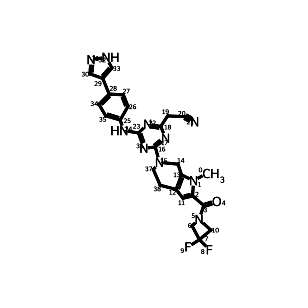 Cn1c(C(=O)N2CC(F)(F)C2)cc2c1CN(c1nc(CC#N)nc(Nc3ccc(-c4cn[nH]c4)cc3)n1)CC2